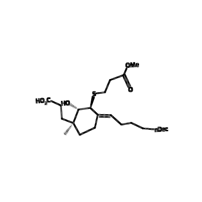 CCCCCCCCCCCCCC=C1CC[C@@](C)(CCC(=O)O)[C@H](O)[C@H]1SCCC(=O)OC